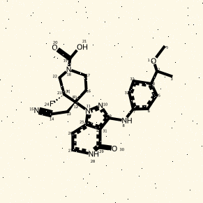 COC(C)c1ccc(Nc2nn([C@@]3(CC#N)CCN(C(=O)O)C[C@H]3F)c3cc[nH]c(=O)c23)cc1